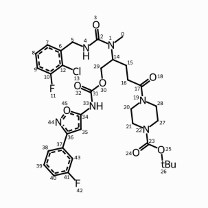 CN(C(=O)NCc1cccc(F)c1Cl)C(CCC(=O)N1CCN(C(=O)OC(C)(C)C)CC1)COC(=O)Nc1cc(-c2cccc(F)c2)no1